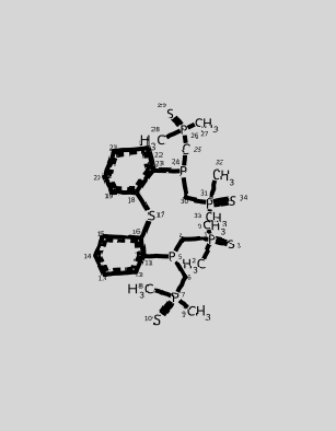 CP(C)(=S)CP(CP(C)(C)=S)c1ccccc1Sc1ccccc1P(CP(C)(C)=S)CP(C)(C)=S